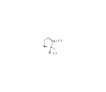 C[C]1([Zr])C=CC=N1.Cl.Cl.Cl